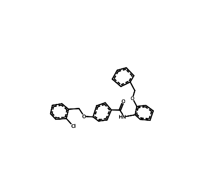 O=C(Nc1ccccc1OCc1ccccc1)c1ccc(OCc2ccccc2Cl)cc1